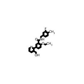 CCOc1ccc(-c2ncccc2CO)cc1C(=O)NCc1ccc(C)c(F)c1